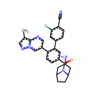 Cc1cnn2cc(-c3ccc(C(=O)N4C5CCC4CC(N)C5)cc3-c3ccc(C#N)c(F)c3)cnc12